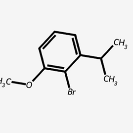 COc1cccc(C(C)C)c1Br